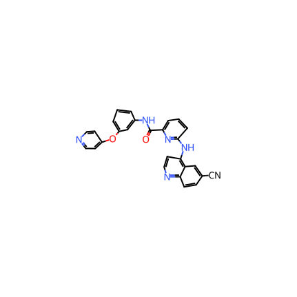 N#Cc1ccc2nccc(Nc3cccc(C(=O)Nc4cccc(Oc5ccncc5)c4)n3)c2c1